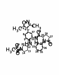 Cc1noc(C)c1-c1ccc(NC2CCN(S(C)(=O)=O)C2)c(NC(=O)C2CCC(=O)N2c2ccccc2)c1